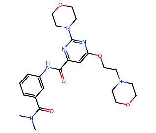 CN(C)C(=O)c1cccc(NC(=O)c2cc(OCCN3CCOCC3)nc(N3CCOCC3)n2)c1